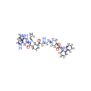 CCN(C(=O)c1cccc(C(=O)CNCCN2CCC(OC(=O)Nc3ccccc3-c3ccccc3)CC2)c1)N(Cc1ncc[nH]1)Cc1ncc[nH]1